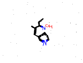 CCC(=NO)C(C)=Cc1cccnc1